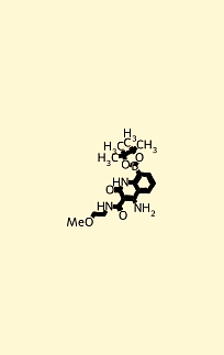 COCCNC(=O)c1c(N)c2cccc(B3OC(C)(C)C(C)(C)O3)c2[nH]c1=O